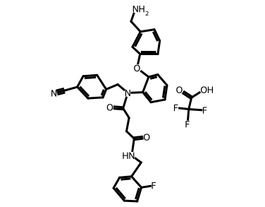 N#Cc1ccc(CN(C(=O)CCC(=O)NCc2ccccc2F)c2ccccc2Oc2cccc(CN)c2)cc1.O=C(O)C(F)(F)F